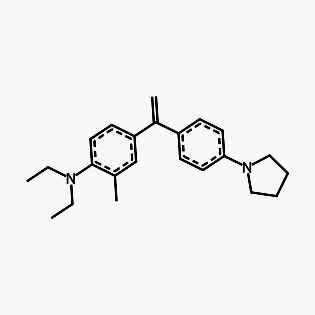 C=C(c1ccc(N2CCCC2)cc1)c1ccc(N(CC)CC)c(C)c1